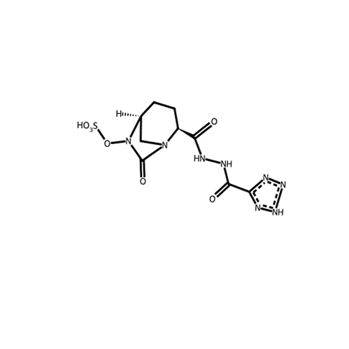 O=C(NNC(=O)[C@@H]1CC[C@H]2CN1C(=O)N2OS(=O)(=O)O)c1nn[nH]n1